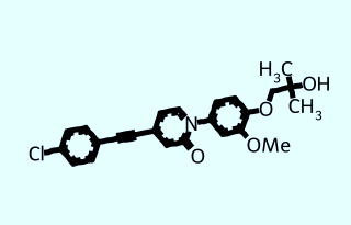 COc1cc(-n2ccc(C#Cc3ccc(Cl)cc3)cc2=O)ccc1OCC(C)(C)O